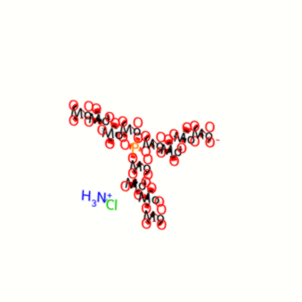 O=P([O][Mo](=[O])(=[O])[O][Mo](=[O])(=[O])[O][Mo](=[O])(=[O])[O][Mo](=[O])(=[O])[O-])([O][Mo](=[O])(=[O])[O][Mo](=[O])(=[O])[O][Mo](=[O])(=[O])[O][Mo](=[O])(=[O])[O-])[O][Mo](=[O])(=[O])[O][Mo](=[O])(=[O])[O][Mo](=[O])(=[O])[O][Mo](=[O])(=[O])[O-].[NH3+]Cl